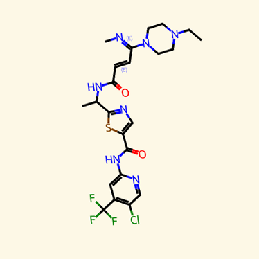 CCN1CCN(C(/C=C/C(=O)NC(C)c2ncc(C(=O)Nc3cc(C(F)(F)F)c(Cl)cn3)s2)=N/C)CC1